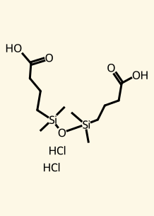 C[Si](C)(CCCC(=O)O)O[Si](C)(C)CCCC(=O)O.Cl.Cl